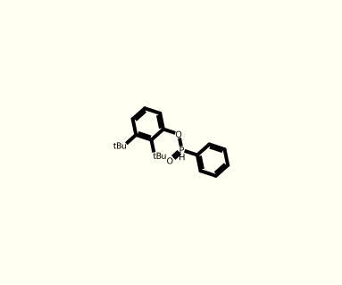 CC(C)(C)c1cccc(O[PH](=O)c2ccccc2)c1C(C)(C)C